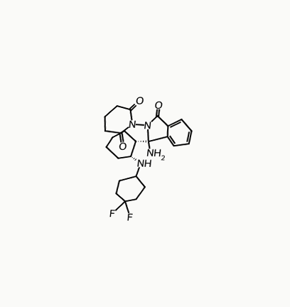 NC1([C@H]2CCCC[C@H]2NC2CCC(F)(F)CC2)c2ccccc2C(=O)N1N1C(=O)CCCC1=O